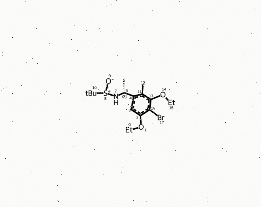 CCOc1cc([C@@H](C)N[S+]([O-])C(C)(C)C)c(C)c(OCC)c1Br